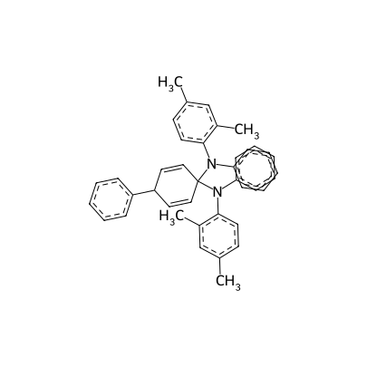 Cc1ccc(N(c2ccccc2)C2(N(c3ccccc3)c3ccc(C)cc3C)C=CC(c3ccccc3)C=C2)c(C)c1